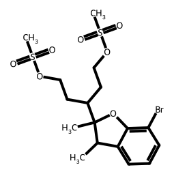 CC1c2cccc(Br)c2OC1(C)C(CCOS(C)(=O)=O)CCOS(C)(=O)=O